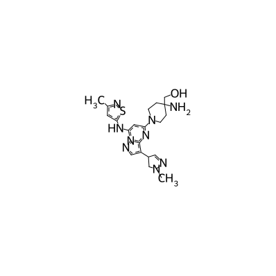 Cc1cc(Nc2cc(N3CCC(N)(CO)CC3)nc3c(C4C=NN(C)C4)cnn23)sn1